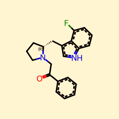 O=C(CN1CCC[C@@H]1Cc1c[nH]c2cccc(F)c12)c1ccccc1